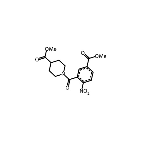 COC(=O)c1ccc([N+](=O)[O-])c(C(=O)N2CCC(C(=O)OC)CC2)c1